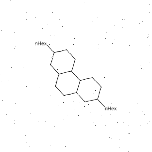 CCCCCCC1CCC2C(CCC3CC(CCCCCC)CCC32)C1